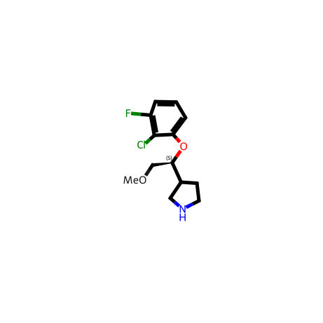 COC[C@@H](Oc1cccc(F)c1Cl)C1CCNC1